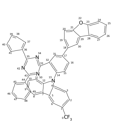 FC(F)(F)c1ccc2c(c1)c1ccccc1n2-c1ccc(-c2ccc3oc4ccccc4c3c2)cc1-c1nc(-c2ccccc2)nc(-c2ccccc2)n1